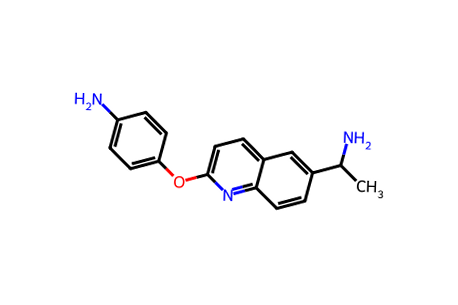 CC(N)c1ccc2nc(Oc3ccc(N)cc3)ccc2c1